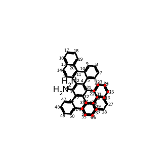 Nc1c(N)c(-c2ccccc2-c2cccc3ccccc23)c(-c2cccc3ccccc23)c(-c2ccccc2-c2ccccc2)c1-c1ccccc1-c1ccccc1